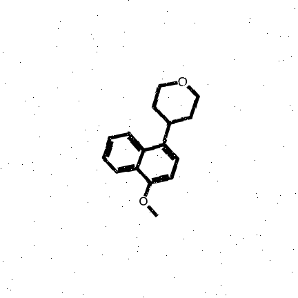 COc1ccc(C2CCOCC2)c2ccccc12